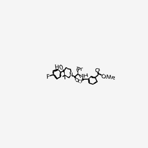 COC(=O)c1cccc(C(=O)N[C@@H](C(=O)N2CC[C@](O)(c3ccc(F)cc3)C(C)(C)C2)C(C)C)c1